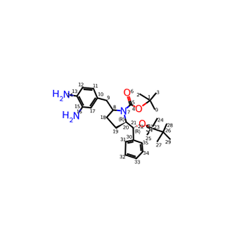 CC(C)(C)OC(=O)N1C(Cc2ccc(N)c(N)c2)CC[C@@H]1[C@H](O[Si](C)(C)C(C)(C)C)c1ccccc1